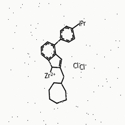 CC(C)c1ccc(-c2cccc3c2C=C(CC2CCCCCC2)[CH]3[Zr+2])cc1.[Cl-].[Cl-]